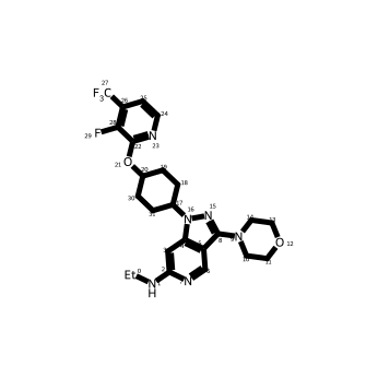 CCNc1cc2c(cn1)c(N1CCOCC1)nn2C1CCC(Oc2nccc(C(F)(F)F)c2F)CC1